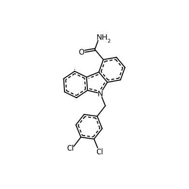 NC(=O)c1cccc2c1c1[c]cccc1n2Cc1ccc(Cl)c(Cl)c1